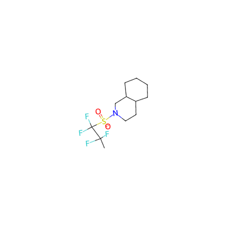 CC(F)(F)C(F)(F)S(=O)(=O)N1CCC2CCCCC2C1